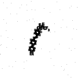 CCC1CCC(C2CCC(/C=C/c3ccc(OC(F)(F)C(F)C(F)(F)F)cc3)CC2)CC1